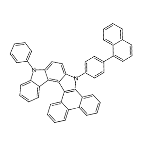 c1ccc(-n2c3ccccc3c3c4c5c6ccccc6c6ccccc6c5n(-c5ccc(-c6cccc7ccccc67)cc5)c4ccc32)cc1